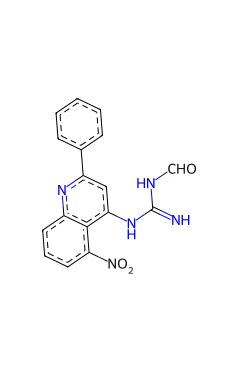 N=C(NC=O)Nc1cc(-c2ccccc2)nc2cccc([N+](=O)[O-])c12